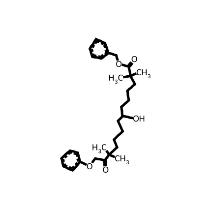 CC(C)(CCCCC(O)CCCCC(C)(C)C(=O)OCc1ccccc1)C(=O)COc1ccccc1